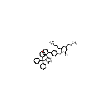 CCCCc1cc(COC)cc(=O)n1Cc1ccc(-c2ccccc2-c2nnnn2C(c2ccccc2)(c2ccccc2)c2ccccc2)cc1